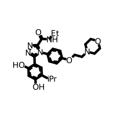 CCNC(=O)c1nnc(-c2cc(C(C)C)c(O)cc2O)n1-c1ccc(OCCN2CCOCC2)cc1